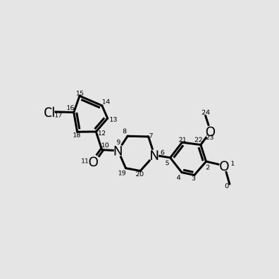 COc1ccc(N2CCN(C(=O)c3cccc(Cl)c3)CC2)cc1OC